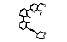 COc1nc(-c2cccc(-c3cccc(C#CC4CCCNC4)c3C)c2C)ccc1C=O